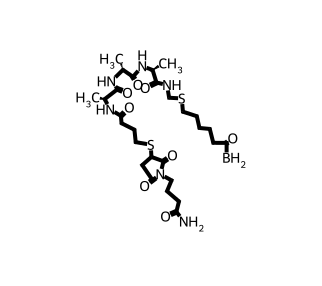 BC(=O)CCCCCSCNC(=O)[C@H](C)NC(=O)[C@@H](C)NC(=O)[C@H](C)NC(=O)CCCSC1CC(=O)N(CCCC(N)=O)C1=O